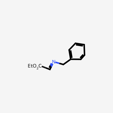 CCOC(=O)C=NCc1ccccc1